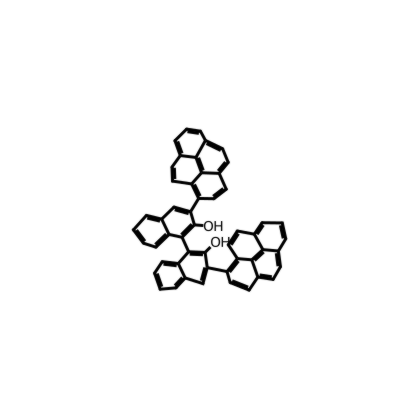 Oc1c(-c2ccc3ccc4cccc5ccc2c3c45)cc2ccccc2c1-c1c(O)c(-c2ccc3ccc4cccc5ccc2c3c45)cc2ccccc12